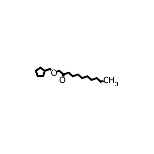 CCCCCCCCCC(=O)COCC1CCCC1